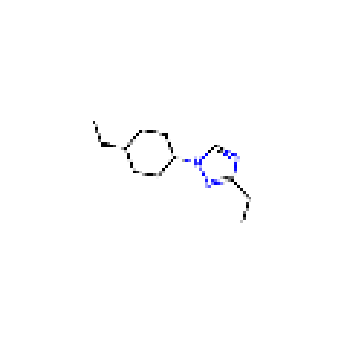 CCc1ncn([C@H]2CC[C@H](CC)CC2)n1